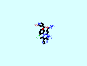 C=C/C=C(\C=C/N)C(=C)N(C(/C=C/C(=N/N)OC(=C)c1ccnc(OC)c1)=N\N)c1ccccc1Cl